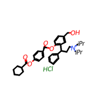 CC(C)N(CCC(c1ccccc1)c1cc(CO)ccc1OC(=O)c1ccc(OC(=O)C2CCCCC2)cc1)C(C)C.Cl